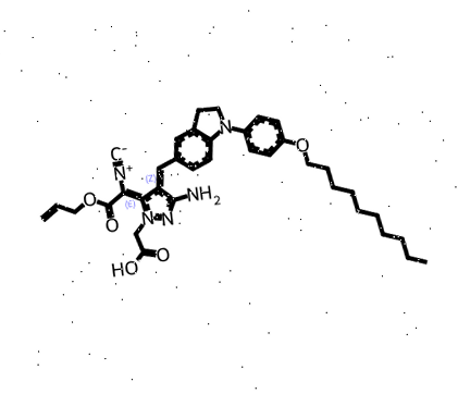 [C-]#[N+]/C(C(=O)OCC=C)=c1\c(=C\c2ccc3c(c2)CCN3c2ccc(OCCCCCCCCCC)cc2)c(N)nn1CC(=O)O